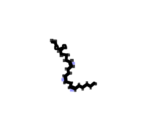 CCCCC/C=C\C/C=C\CC/C=C\CCCC(=O)OCC